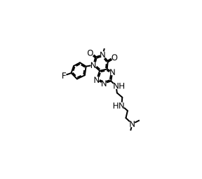 CN(C)CCNCCNc1nnc2c(n1)c(=O)n(C)c(=O)n2-c1ccc(F)cc1